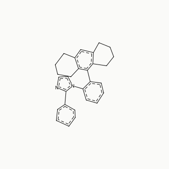 c1ccc(-c2nccn2-c2ccccc2-c2c3c(cc4c2CCCC4)CCCC3)cc1